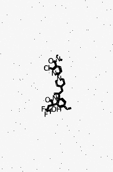 CCc1cccc(C(O)(CC(F)(F)F)C(=O)N2CC(CC3CCN(c4ccc(C(=O)N(C)C)c(Cl)n4)CC3)C2)c1